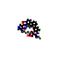 COc1cc(-c2cccc(-c3cccc(NC(=O)c4cncn(C)c4=O)c3C)c2C)cc(F)c1CN(C)CCO